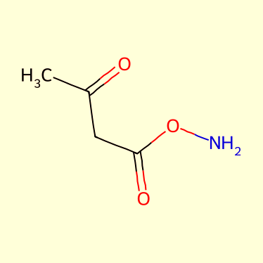 CC(=O)CC(=O)ON